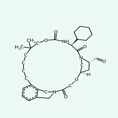 CC1(C)CCCCc2cccc3c2CN(C3)C(=O)CO[C@@H]2C[C@@H](C=O)N(C2)C(=O)[C@H](C2CCCCC2)NC(=O)OC1